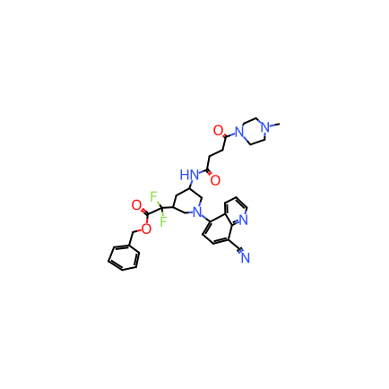 CN1CCN(C(=O)CCC(=O)NC2CC(C(F)(F)C(=O)OCc3ccccc3)CN(c3ccc(C#N)c4ncccc34)C2)CC1